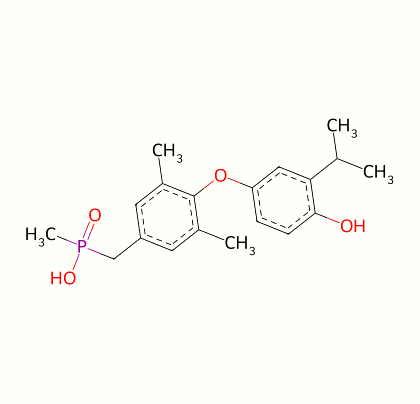 Cc1cc(CP(C)(=O)O)cc(C)c1Oc1ccc(O)c(C(C)C)c1